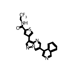 O=C(NCC(F)(F)F)c1cc(-c2cnn3cc(-c4cncc5ccccc45)cnc23)cs1